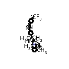 Cc1cccc(C)c1N1C(=O)CS/C1=N\C(=O)NC(C)C(C)c1ccc(-c2ncn(-c3ccc(OC(F)(F)F)cc3)n2)cc1